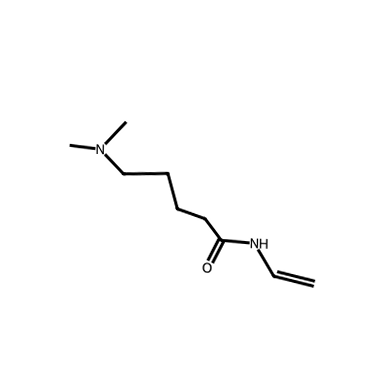 C=CNC(=O)CCCCN(C)C